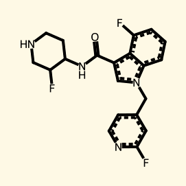 O=C(NC1CCNCC1F)c1cn(Cc2ccnc(F)c2)c2cccc(F)c12